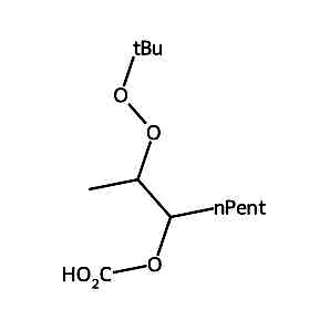 CCCCCC(OC(=O)O)C(C)OOC(C)(C)C